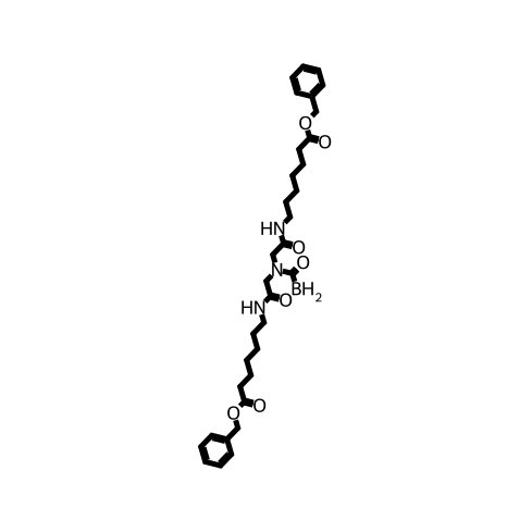 BC(=O)N(CC(=O)NCCCCCCC(=O)OCc1ccccc1)CC(=O)NCCCCCCC(=O)OCc1ccccc1